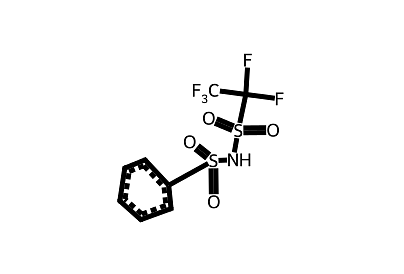 O=S(=O)(NS(=O)(=O)C(F)(F)C(F)(F)F)c1ccccc1